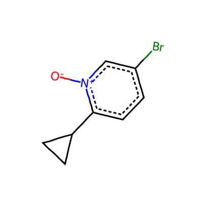 [O-][n+]1cc(Br)ccc1C1CC1